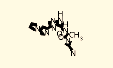 C[C@@H](NC(=O)c1c[nH]c2ncc(-c3cc(-n4cccc4)ccn3)nc12)C(=O)N1CC(C#N)C1